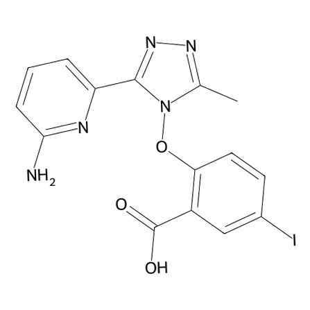 Cc1nnc(-c2cccc(N)n2)n1Oc1ccc(I)cc1C(=O)O